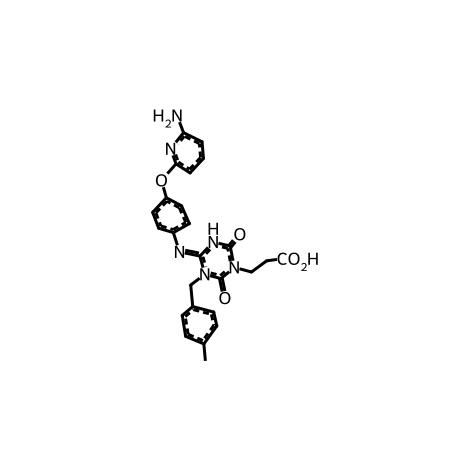 Cc1ccc(Cn2c(=O)n(CCC(=O)O)c(=O)[nH]/c2=N\c2ccc(Oc3cccc(N)n3)cc2)cc1